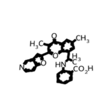 Cc1cc(C(C)Nc2ccccc2C(=O)O)c2oc(-c3cc4cnccc4o3)c(C)c(=O)c2c1